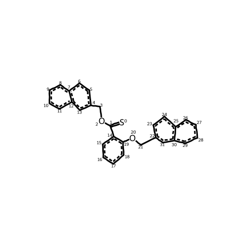 S=C(OCc1ccc2ccccc2c1)c1ccccc1OCc1ccc2ccccc2c1